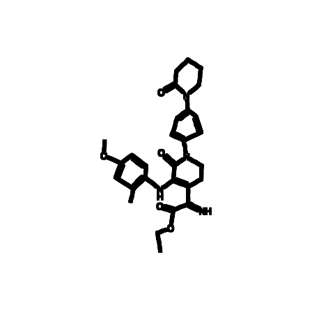 CCOC(=O)C(=N)C1=C(Nc2ccc(OC)cc2C)C(=O)N(c2ccc(N3CCCCC3=O)cc2)CC1